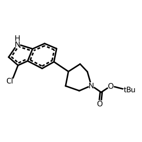 CC(C)(C)OC(=O)N1CCC(c2ccc3[nH]cc(Cl)c3c2)CC1